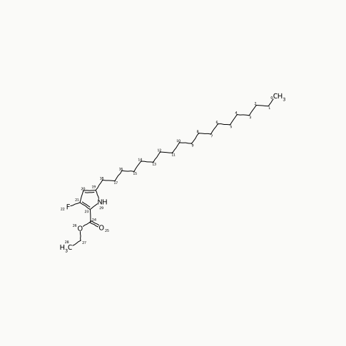 CCCCCCCCCCCCCCCCCCCc1cc(F)c(C(=O)OCC)[nH]1